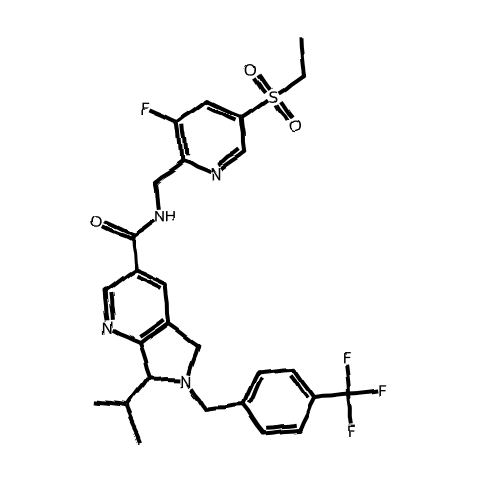 CCS(=O)(=O)c1cnc(CNC(=O)c2cnc3c(c2)CN(Cc2ccc(C(F)(F)F)cc2)C3C(C)C)c(F)c1